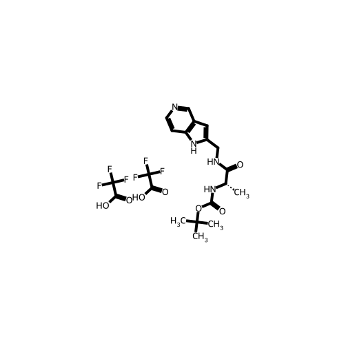 C[C@H](NC(=O)OC(C)(C)C)C(=O)NCc1cc2cnccc2[nH]1.O=C(O)C(F)(F)F.O=C(O)C(F)(F)F